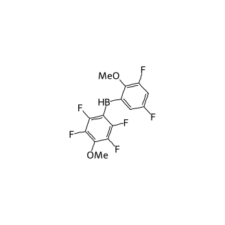 COc1c(F)cc(F)cc1Bc1c(F)c(F)c(OC)c(F)c1F